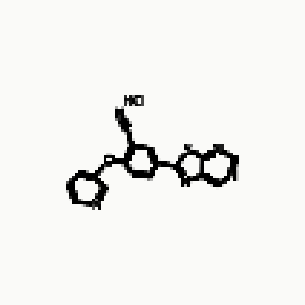 Cl.N#Cc1cc(-c2nc3cncnc3s2)ccc1Oc1cccnc1